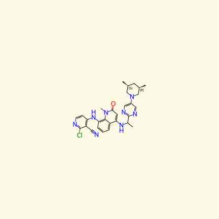 CC(Nc1cc(=O)n(C)c2c(Nc3ccnc(Cl)c3C#N)cccc12)c1ncc(N2C[C@H](C)C[C@H](C)C2)cn1